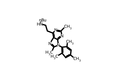 CCCCNCCc1nc(C)nc2c1nc(C)n2-c1c(C)cc(C)cc1C